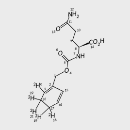 [2H]C1=C(COC(=O)N[C@@H](CCC(N)=O)C(=O)O)C=CC([2H])([2H])C1([2H])[2H]